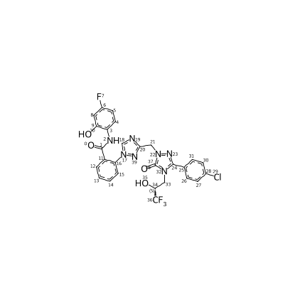 O=C(Nc1ccc(F)cc1O)c1ccccc1-n1cnc(Cn2nc(-c3ccc(Cl)cc3)n(C[C@H](O)C(F)(F)F)c2=O)n1